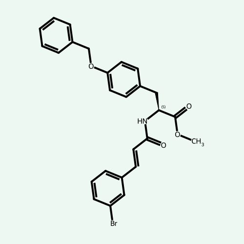 COC(=O)[C@H](Cc1ccc(OCc2ccccc2)cc1)NC(=O)C=Cc1cccc(Br)c1